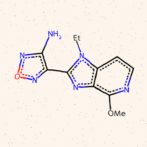 CCn1c(-c2nonc2N)nc2c(OC)nccc21